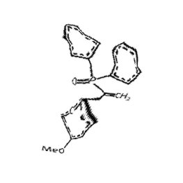 C=C(c1ccc(OC)cc1)P(=O)(c1ccccc1)c1ccccc1